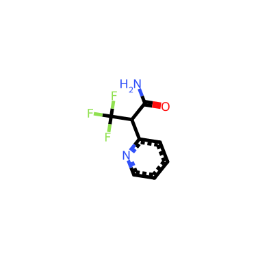 NC(=O)C(c1ccccn1)C(F)(F)F